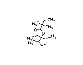 CCC(C)(C)C(=O)OC1(CC)C(C)CCC1C